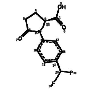 O=C(O)[C@@H]1CCC(=O)N1c1ccc(C(F)F)cc1